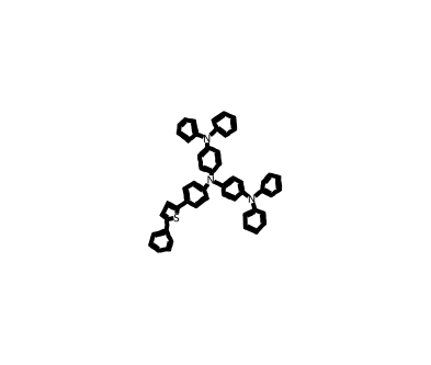 c1ccc(-c2ccc(-c3ccc(N(c4ccc(N(c5ccccc5)c5ccccc5)cc4)c4ccc(N(c5ccccc5)c5ccccc5)cc4)cc3)s2)cc1